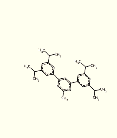 Cc1nc(-c2cc(C(C)C)cc(C(C)C)c2)cc(-c2cc(C(C)C)cc(C(C)C)c2)n1